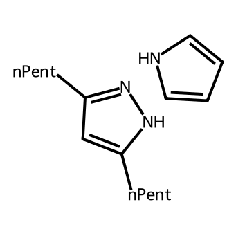 CCCCCc1cc(CCCCC)[nH]n1.c1cc[nH]c1